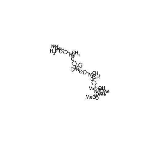 COP(=O)(CN(CCc1ccc(OP(S)N(C)N=Cc2ccc(OCN=P(c3ccccc3)(c3ccccc3)c3ccc(OCN(C)N=Cc4ccc(OPP(P)N=[N+]=[N-])cc4)cc3)cc2)cc1)C[PH](O)(OC)OC)OC